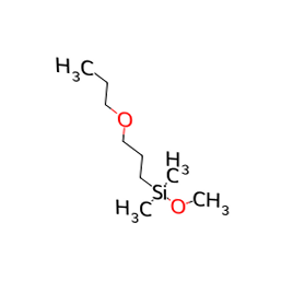 CCCOCCC[Si](C)(C)OC